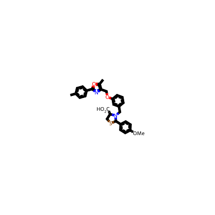 COc1ccc(C2SCC(C(=O)O)N2Cc2cccc(OCc3nc(-c4ccc(C)cc4)oc3C)c2)cc1